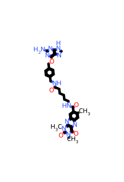 Cc1cc2nc3c(=O)n(C)c(=O)n(C)c3nc2cc1C(=O)NCCCCCC(=O)NCc1ccc(COc2nc(N)nc3[nH]cnc23)cc1